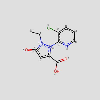 CCn1c(=O)cc(C(=O)O)n1-c1ncccc1Cl